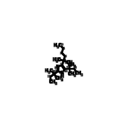 CCCCC(C)(C)c1nc(C(C)(C)CC)[nH]c1C(C)(C)CC